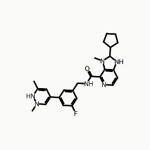 CC1=CC(c2cc(F)cc(CNC(=O)c3nccc4c3N(C)C(C3CCCC3)N4)c2)=CN(C)N1